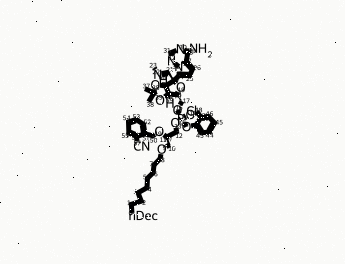 CCCCCCCCCCCCCCCCCCOC[C@H](COP(=O)(OC[C@H]1O[C@@](C=NC)(c2ccc3c(N)ncnn23)[C@@H]2OC(C)(C)O[C@@H]21)Oc1ccccc1Cl)OCc1ccccc1C#N